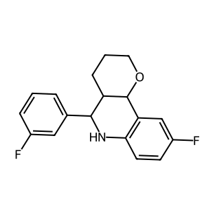 Fc1cccc(C2Nc3ccc(F)cc3C3OCCCC23)c1